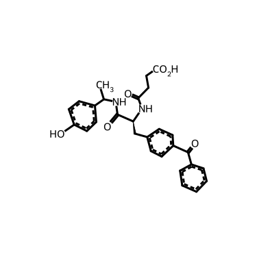 CC(NC(=O)[C@H](Cc1ccc(C(=O)c2ccccc2)cc1)NC(=O)CCC(=O)O)c1ccc(O)cc1